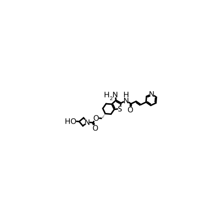 Nc1c(NC(=O)/C=C/c2cccnc2)sc2c1CC[C@@H](COC(=O)N1CC(O)C1)C2